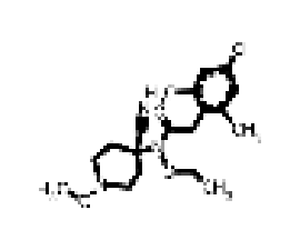 CCON(C(=O)Cc1c(C)cc(Cl)cc1C)C1(C#N)CCN(OC)CC1